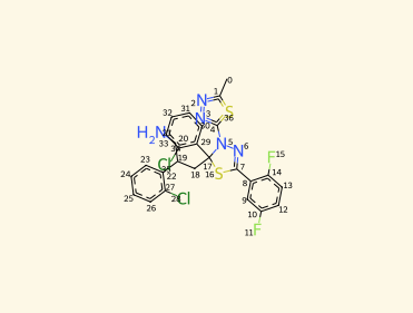 Cc1nnc(N2N=C(c3cc(F)ccc3F)SC2(CC(CN)c2ccccc2Cl)c2ccccc2Cl)s1